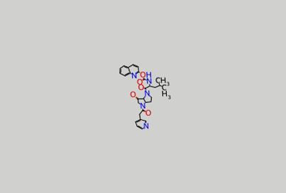 CC(C)CC(NC(=O)Oc1ccc2ccccc2n1)C(=O)N1CCC2C1C(=O)CN2C(=O)Cc1cccnc1